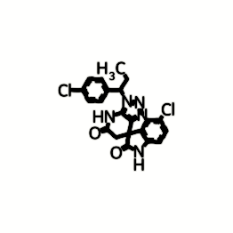 CCC(c1ccc(Cl)cc1)n1nnc2c1NC(=O)CC21C(=O)Nc2ccc(Cl)cc21